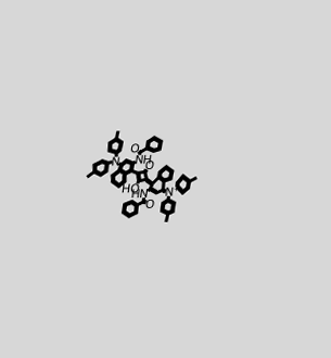 Cc1ccc(N(c2ccc(C)cc2)c2cc(NC(=O)c3ccccc3)c(C3=C(O)/C(=C4\C(NC(=O)c5ccccc5)=CC(=[N+](c5ccc(C)cc5)c5ccc(C)cc5)c5ccccc54)C3=O)c3ccccc23)cc1